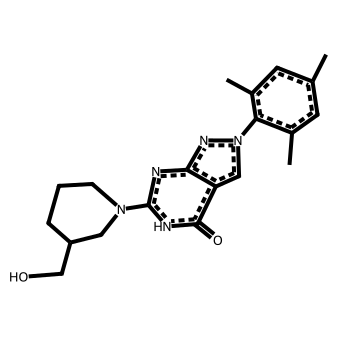 Cc1cc(C)c(-n2cc3c(=O)[nH]c(N4CCCC(CO)C4)nc3n2)c(C)c1